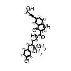 CN(C)C(CCNC(=O)c1c[nH]c2ccc(C#CCO)cc2c1=O)Cc1ccc(Cl)cc1